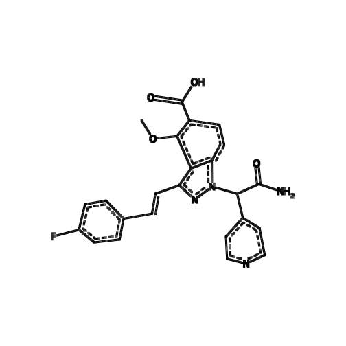 COc1c(C(=O)O)ccc2c1c(C=Cc1ccc(F)cc1)nn2C(C(N)=O)c1ccncc1